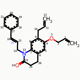 C=CCOc1cc2c(cc1CC=C)N(C/C=C/c1ccccc1)C(=O)CC2